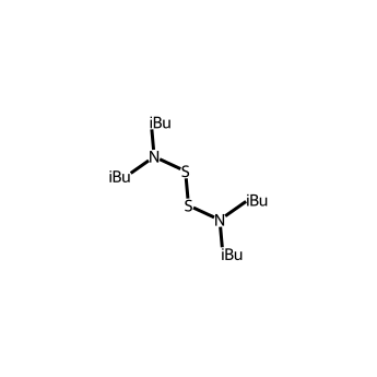 CCC(C)N(SSN(C(C)CC)C(C)CC)C(C)CC